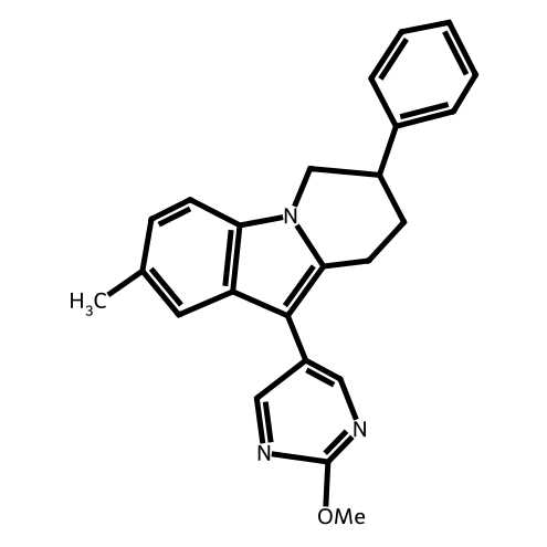 COc1ncc(-c2c3n(c4ccc(C)cc24)CC(c2ccccc2)CC3)cn1